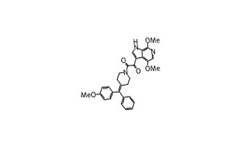 COc1ccc(C(=C2CCN(C(=O)C(=O)c3c[nH]c4c(OC)ncc(OC)c34)CC2)c2ccccc2)cc1